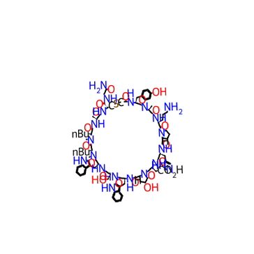 CCCC[C@H]1C(=O)N(C)[C@@H](CCCC)C(=O)N[C@@H](C)C(=O)N[C@H](C(=O)NCC(N)=O)CSCC(=O)N[C@@H](Cc2ccc(O)cc2)C(=O)N(C)[C@@H](C)C(=O)N[C@@H](CCCN)C(=O)N2CCC[C@H]2C(=O)N[C@@H](Cc2cnc[nH]2)C(=O)N[C@@H](CC(=O)O)C(=O)N2C[C@H](O)C[C@H]2C(=O)N[C@@H](Cc2c[nH]c3ccccc23)C(=O)N[C@@H](CO)C(=O)N[C@@H](Cc2c[nH]c3ccccc23)C(=O)N1C